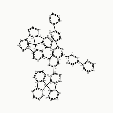 c1cncc(-c2ccc(-c3nc(-c4ccc(-c5cccnc5)nc4)c4cc(-c5ccc6c(c5)C5(c7ccccc7-c7ccccc75)c5ccccc5-6)cc(-c5ccc6c(c5)C5(c7ccccc7-c7ccccc75)c5ccccc5-6)c4n3)cn2)c1